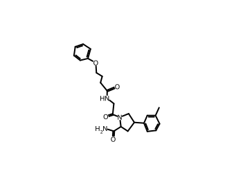 Cc1cccc(C2CC(C(N)=O)N(C(=O)CNC(=O)CCCOc3ccccc3)C2)c1